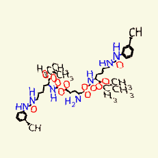 C#Cc1cccc(NC(=O)NCCCCC(NC(=O)OC(=O)CC[C@H](N)C(=O)OC(=O)NC(CCCCNC(=O)Nc2cccc(C#C)c2)C(=O)OC(C)(C)C)C(=O)OC(C)(C)C)c1